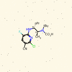 CCC[C@@H](Nc1nc(Cl)c(C#N)cc1F)[C@H](C)N(C(=O)O)C(C)(C)C